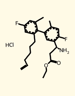 C=CCCCCc1cc(F)cc(C)c1-c1cc([C@@H](N)CC(=O)OCC)c(F)cc1C.Cl